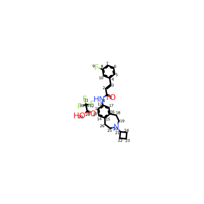 O=C(C=Cc1cccc(F)c1)Nc1ccc2c(c1)CCN(C1CCC1)CC2.O=C(O)C(F)(F)F